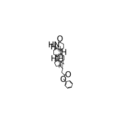 C[C@]12CCC(=O)N[C@@H]1CC[C@@H]1[C@@H]2CC[C@]2(C)[C@@H](CCC(=O)Oc3ccccc3)CC[C@@H]12